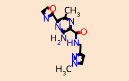 Cc1nc(C(=O)NCc2ccn(C)n2)c(N)nc1-c1ncco1